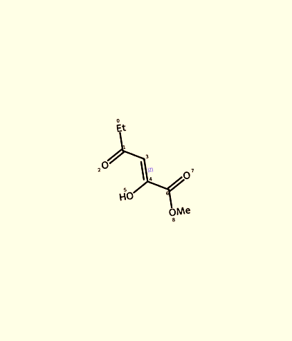 CCC(=O)/C=C(\O)C(=O)OC